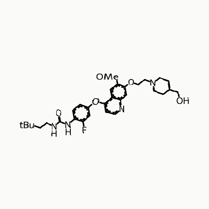 COc1cc2c(Oc3ccc(NC(=O)NCCC(C)(C)C)c(F)c3)ccnc2cc1OCCN1CCC(CO)CC1